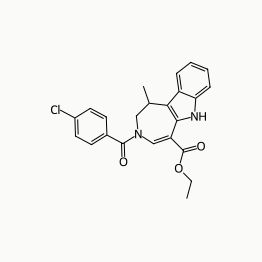 CCOC(=O)C1=CN(C(=O)c2ccc(Cl)cc2)CC(C)c2c1[nH]c1ccccc21